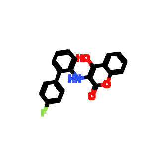 O=c1oc2ccccc2c(O)c1Nc1ccccc1-c1ccc(F)cc1